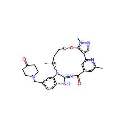 Cc1cc2cc(n1)-c1cnn(C)c1OCCC[C@@H](C)CN1/C(=N/C2=O)Nc2ccc(CN3CCC(=O)CC3)cc21